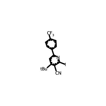 CC(C)(C)c1cc(-c2ccc(C(F)(F)F)cc2)nc(I)c1C#N